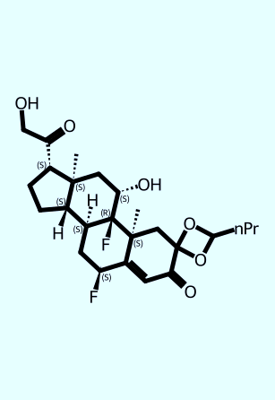 CCCC1OC2(C[C@@]3(C)C(=CC2=O)[C@@H](F)C[C@H]2[C@@H]4CC[C@H](C(=O)CO)[C@@]4(C)C[C@H](O)[C@@]23F)O1